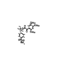 COc1cc(OC)c(C(=O)N[C@H]2[C@H](c3ccc(S(N)(=O)=O)cc3)C2(C)C)cc1OC